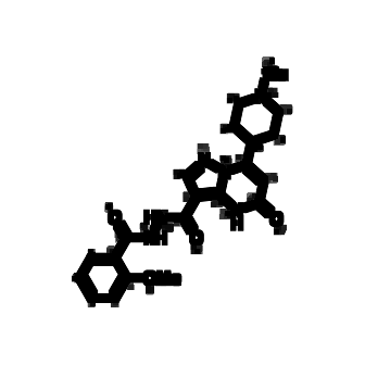 COc1ccccc1C(=O)NNC(=O)c1cnn2c(C3CCN(C(C)(C)C)CC3)cc(=O)[nH]c12